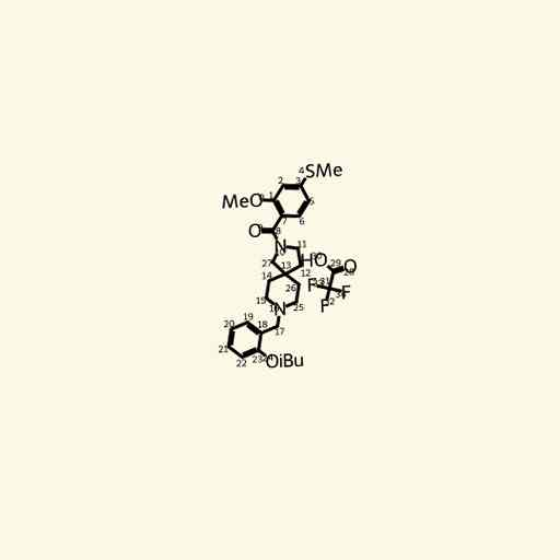 COc1cc(SC)ccc1C(=O)N1CCC2(CCN(Cc3ccccc3OCC(C)C)CC2)C1.O=C(O)C(F)(F)F